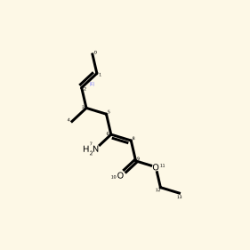 C/C=C/C(C)CC(N)=CC(=O)OCC